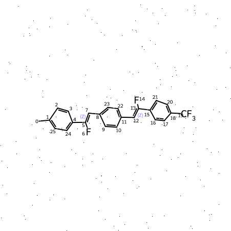 Cc1ccc(/C(F)=C/c2ccc(/C=C(\F)c3ccc(C(F)(F)F)cc3)cc2)cc1